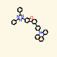 c1ccc(-c2nc(-c3ccccc3)nc(-c3ccc4c(c3)oc3ccc(-c5ccc(N(c6ccccc6)c6ccccc6-c6ccccc6)cc5)cc34)n2)cc1